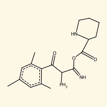 Cc1cc(C)c(C(=O)C(P)C(=N)OC(=O)C2CCCCN2)c(C)c1